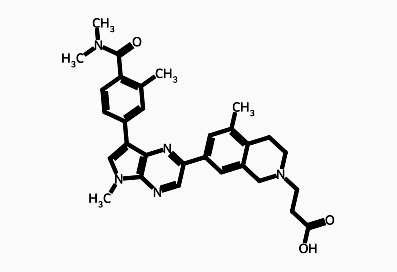 Cc1cc(-c2cn(C)c3ncc(-c4cc(C)c5c(c4)CN(CCC(=O)O)CC5)nc23)ccc1C(=O)N(C)C